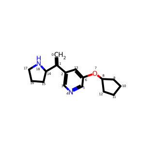 C=C(c1cncc(OC2CCCC2)c1)C1CCCN1